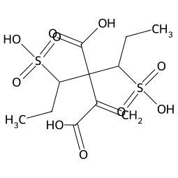 C=C(C(=O)O)C(C(=O)O)(C(CC)S(=O)(=O)O)C(CC)S(=O)(=O)O